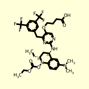 CCOC(=O)ON1c2ccc(N(C)C)cc2[C@@H](Nc2ncc(OCCCC(=O)O)c(Cc3cc(C(F)(F)F)cc(C(F)(F)F)c3)n2)C[C@H]1CC